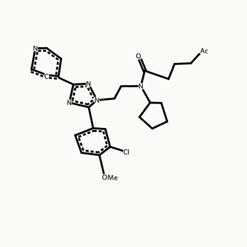 COc1ccc(-c2nc(-c3ccncc3)nn2CCN(C(=O)CCCC(C)=O)C2CCCC2)cc1Cl